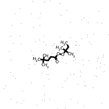 CCC(C)(C)OOC(=O)CCC(C)(C)C